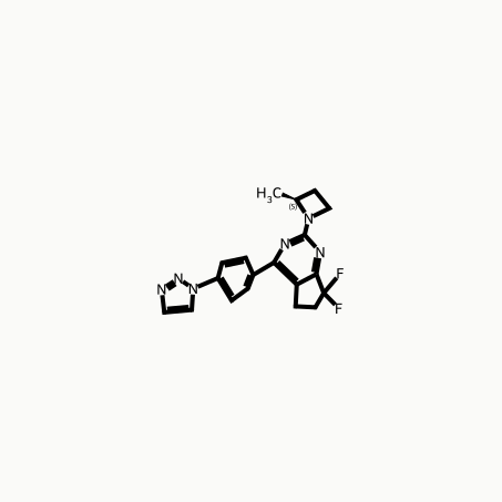 C[C@H]1CCN1c1nc(-c2ccc(-n3ccnn3)cc2)c2c(n1)C(F)(F)CC2